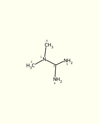 CN(C)C(N)N